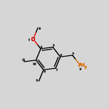 COc1cc(CP)cc(C)c1C